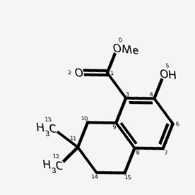 COC(=O)c1c(O)ccc2c1CC(C)(C)CC2